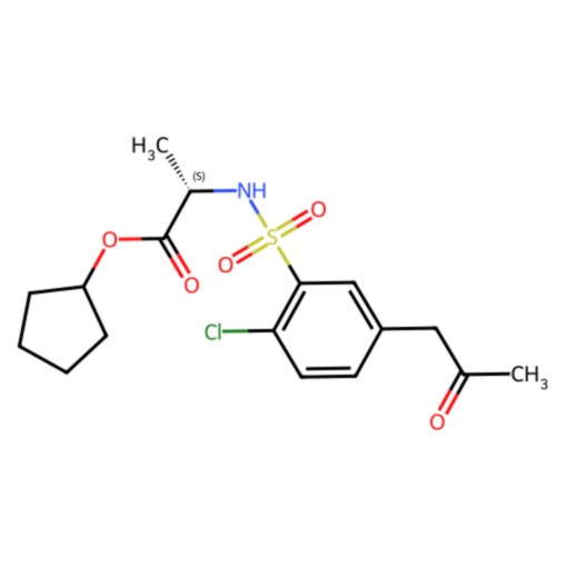 CC(=O)Cc1ccc(Cl)c(S(=O)(=O)N[C@@H](C)C(=O)OC2CCCC2)c1